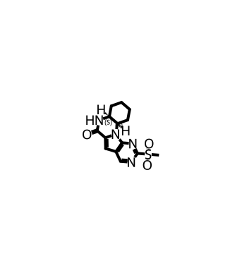 CS(=O)(=O)c1ncc2cc3n(c2n1)[C@@H]1CCCC[C@@H]1NC3=O